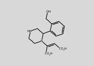 O=C(O)C=C(C(=O)O)N1CCNCC1c1ccccc1CO